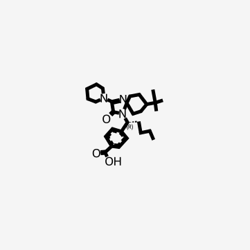 CCCC[C@H](c1ccc(C(=O)O)cc1)N1C(=O)C(N2CCCCC2)=NC12CCC(C(C)(C)C)CC2